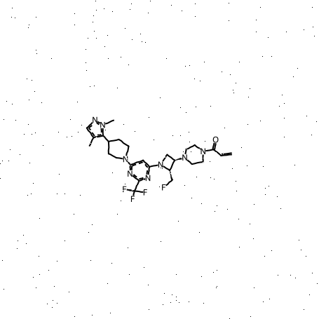 C=CC(=O)N1CCN([C@@H]2CN(c3cc(N4CCC(c5c(C)cnn5C)CC4)nc(C(F)(F)F)n3)[C@@H]2CF)CC1